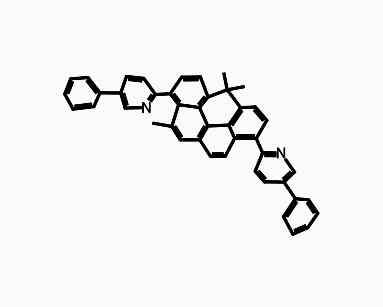 Cc1cc2ccc3c(-c4ccc(-c5ccccc5)cn4)ccc4c3c2c2c(ccc(-c3ccc(-c5ccccc5)cn3)c12)C4(C)C